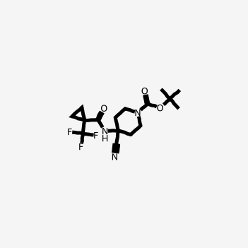 CC(C)(C)OC(=O)N1CCC(C#N)(NC(=O)C2(C(F)(F)F)CC2)CC1